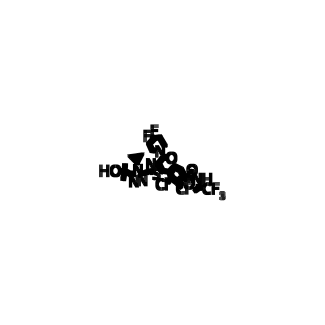 CC(NS(=O)(=O)c1ccc(-c2sc(-c3nnc(C(C)(C)O)n3C3CC3)nc2C(=O)N2CCC(F)(F)CC2)c(Cl)c1Cl)C(F)(F)F